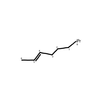 [CH2]C(C)CCCC=CC